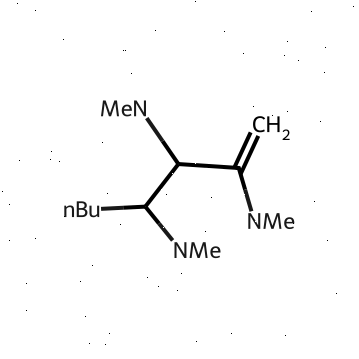 C=C(NC)C(NC)C(CCCC)NC